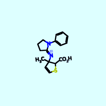 CC1(/N=C2\CCCN2c2ccccc2)C=CSC1C(=O)O